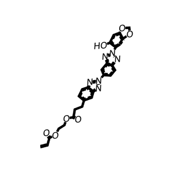 C=CC(=O)OCCOC(=O)CCc1ccc2nn(-c3ccc4nn(-c5cc6c(cc5O)OCO6)nc4c3)nc2c1